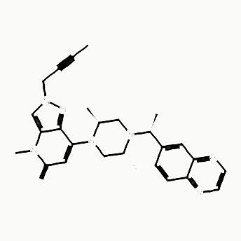 CC#CCn1cc2c(n1)c(N1C[C@@H](C)N([C@@H](C)c3ccc4nccnc4c3)C[C@@H]1C)cc(=O)n2C